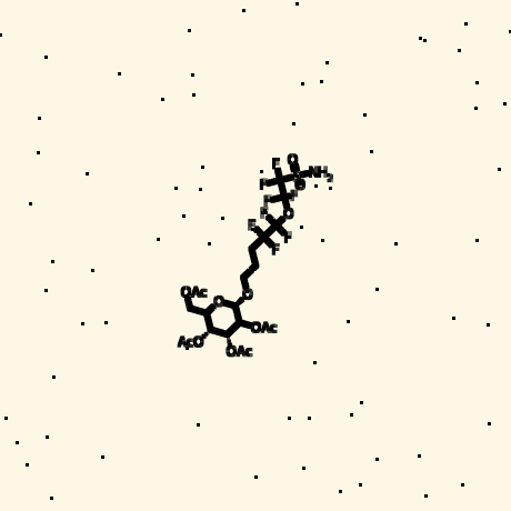 CC(=O)OCC1O[C@@H](OCCCC(F)(F)C(F)(F)OC(F)(F)C(F)(F)S(N)(=O)=O)C(OC(C)=O)[C@H](OC(C)=O)[C@@H]1OC(C)=O